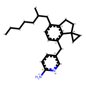 CCCCCC(C)Cc1ccc(Cc2ccc(N)nc2)c2c1CCC21CC1